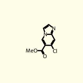 COC(=O)c1cn2ccnc2cc1Cl